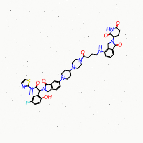 O=C1CCC(N2Cc3c(NCCCC(=O)N4CCN(C5CCN(c6ccc7c(c6)C(=O)N(C(C(=O)Nc6nccs6)c6cc(F)ccc6O)C7)CC5)CC4)cccc3C2=O)C(=O)N1